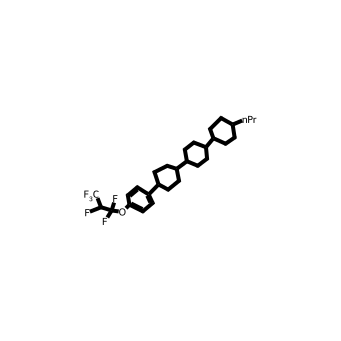 CCCC1CCC(C2CCC(C3CCC(c4ccc(OC(F)(F)C(F)C(F)(F)F)cc4)CC3)CC2)CC1